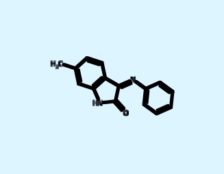 Cc1ccc2c(c1)NC(=O)/C2=N\c1ccccc1